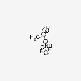 CCc1cc2c(cc1-c1ccc(NC(=O)c3c(F)cccc3F)cc1)OC1(CCC1)CC2